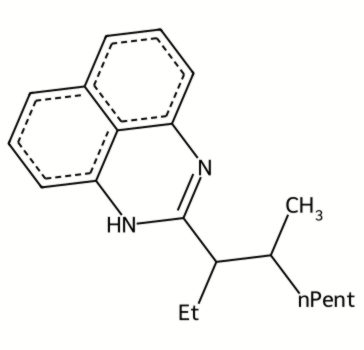 CCCCCC(C)C(CC)C1=Nc2cccc3cccc(c23)N1